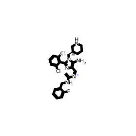 C=C(/N=C\c1nc(-c2c(Cl)cccc2Cl)n(C[C@@H]2CCCNC2)c1N)NCc1ccccc1F